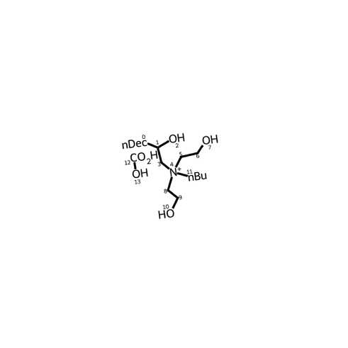 CCCCCCCCCCC(O)C[N+](CCO)(CCO)CCCC.O=C(O)O